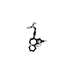 CCCCN(CC#CC1=CCN2CCCC[C@@H]2[C@@]2(CC)OC(=O)C=C12)CCCC